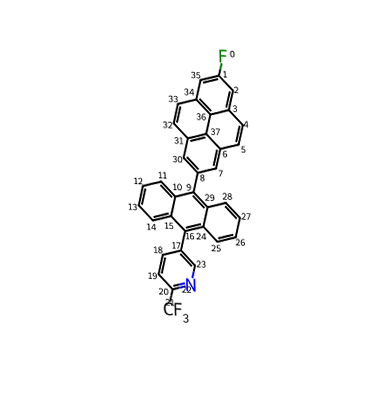 Fc1cc2ccc3cc(-c4c5ccccc5c(-c5ccc(C(F)(F)F)nc5)c5ccccc45)cc4ccc(c1)c2c34